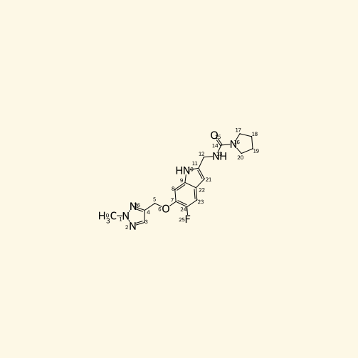 Cn1ncc(COc2cc3[nH]c(CNC(=O)N4CCCC4)cc3cc2F)n1